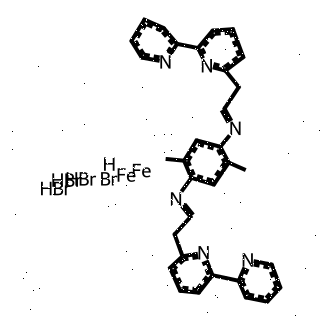 Br.Br.Br.Br.Cc1cc(N=CCc2cccc(-c3ccccn3)n2)c(C)cc1N=CCc1cccc(-c2ccccn2)n1.[Fe].[Fe]